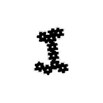 c1ccc(-c2cccc(-c3nc(-c4ccccc4)nc(-c4ccc(-c5ccc(-c6nc7c8ccccc8ccc7c7c6sc6ccccc67)cc5)cc4)n3)c2)cc1